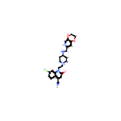 N#Cc1cc(=O)n(CCN2CCC(NCc3cc4c(cn3)OCCO4)CC2)c2cc(F)ccc12